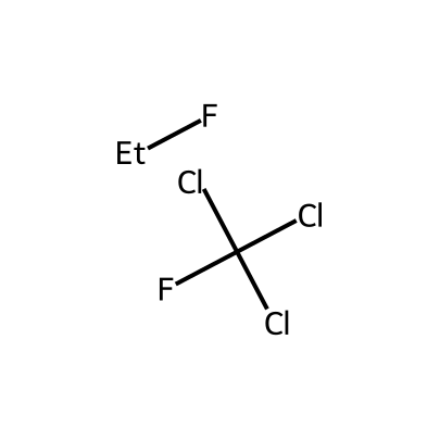 CCF.FC(Cl)(Cl)Cl